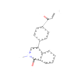 C=CC(=O)c1ccc(-c2cn(CC)c(=O)c3ccccc23)cc1